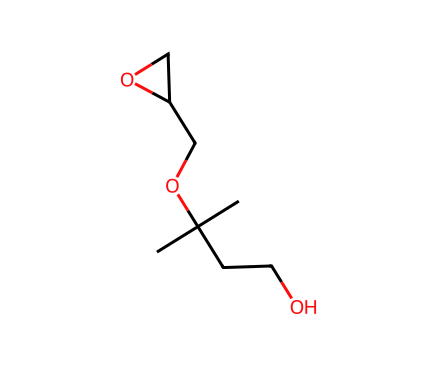 CC(C)(CCO)OCC1CO1